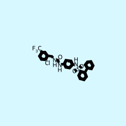 O=C(NCc1cc(C(F)(F)F)ccc1Cl)Nc1ccc(NS(=O)(=O)c2ccccc2-c2ccccc2)cc1